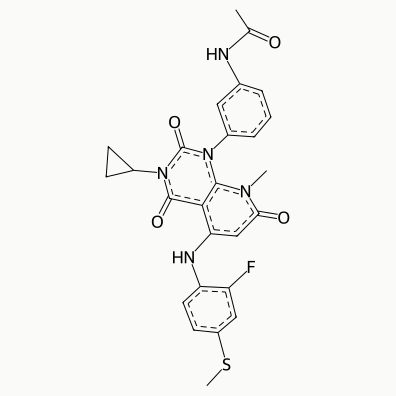 CSc1ccc(Nc2cc(=O)n(C)c3c2c(=O)n(C2CC2)c(=O)n3-c2cccc(NC(C)=O)c2)c(F)c1